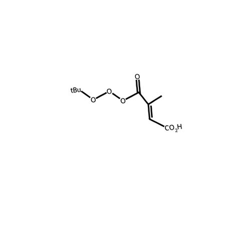 C/C(=C\C(=O)O)C(=O)OOOC(C)(C)C